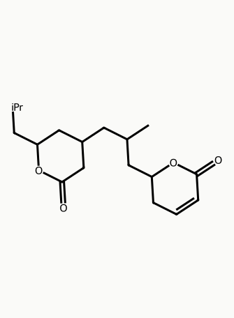 CC(C)CC1CC(CC(C)CC2CC=CC(=O)O2)CC(=O)O1